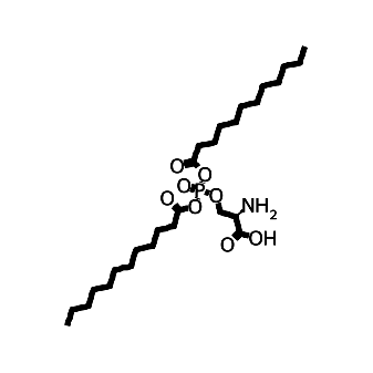 CCCCCCCCCCCC(=O)OP(=O)(OC[C@H](N)C(=O)O)OC(=O)CCCCCCCCCCC